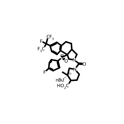 CCCC[C@]1(C)CN(C(=O)N2CC3CCc4cc(C(F)(C(F)(F)F)C(F)(F)F)ccc4C3(S(=O)(=O)c3ccc(F)cc3)C2)CCC1C(=O)O